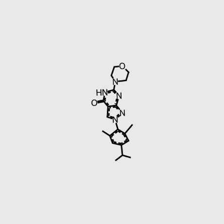 Cc1cc(C(C)C)cc(C)c1-n1cc2c(=O)[nH]c(N3CCOCC3)nc2n1